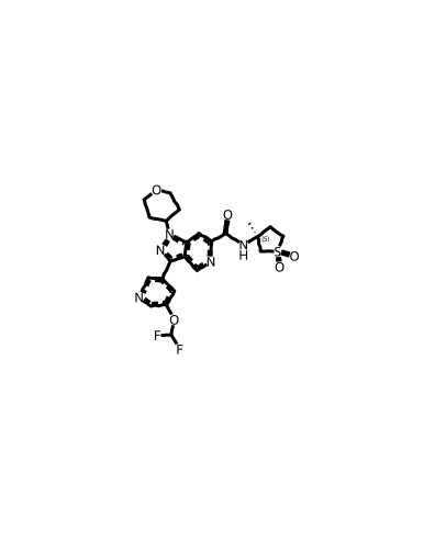 C[C@]1(NC(=O)c2cc3c(cn2)c(-c2cncc(OC(F)F)c2)nn3C2CCOCC2)CCS(=O)(=O)C1